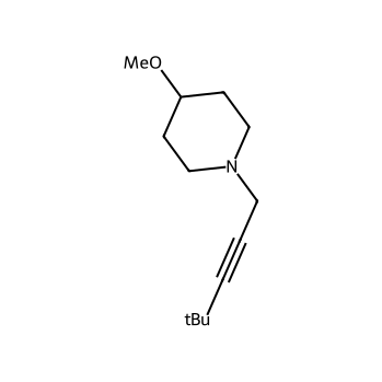 COC1CCN(CC#CC(C)(C)C)CC1